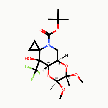 CO[C@@]1(C)O[C@@H]2CN(C(=O)OC(C)(C)C)C3(CC3)C(O)(C(F)(F)F)[C@H]2O[C@]1(C)OC